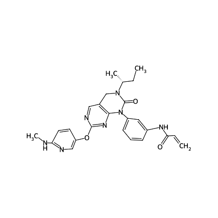 C=CC(=O)Nc1cccc(N2C(=O)N([C@H](C)CC)Cc3cnc(Oc4ccc(NC)nc4)nc32)c1